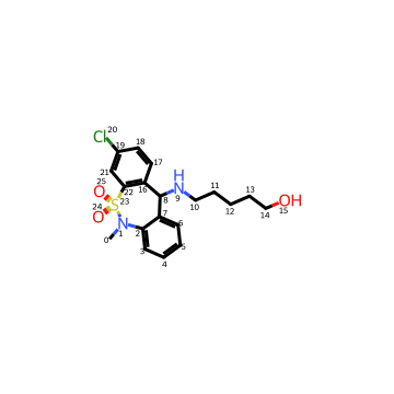 CN1c2ccccc2C(NCCCCCO)c2ccc(Cl)cc2S1(=O)=O